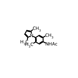 CC(=O)Nc1cc(C)c(-n2c(C)ccc2C)cc1C